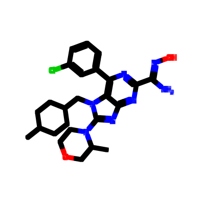 CC1CCC(Cn2c(N3CCOCC3C)nc3nc(C(N)=NO)nc(-c4cccc(Cl)c4)c32)CC1